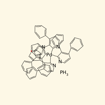 P.c1ccc(-c2ccn[c]([Pd]([c]3nccc(-c4ccccc4)c3-c3ccccc3)([c]3nccc(-c4ccccc4)c3-c3ccccc3)[c]3nccc(-c4ccccc4)c3-c3ccccc3)c2-c2ccccc2)cc1